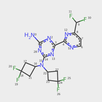 Nc1nc(-c2nccc(C(F)F)n2)nc(N(C2CC(F)(F)C2)C2CC(F)(F)C2)n1